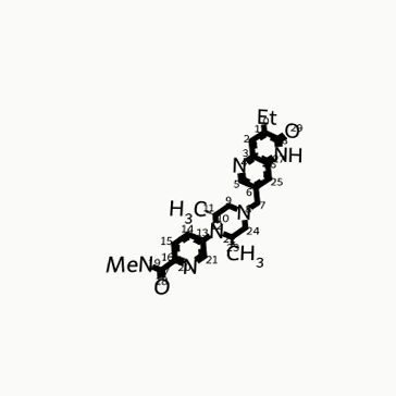 CCc1cc2ncc(CN3C[C@@H](C)N(c4ccc(C(=O)NC)nc4)[C@H](C)C3)cc2[nH]c1=O